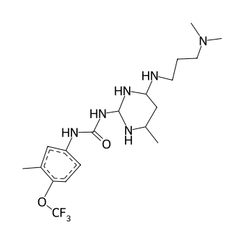 Cc1cc(NC(=O)NC2NC(C)CC(NCCCN(C)C)N2)ccc1OC(F)(F)F